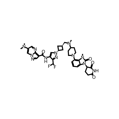 CN(C)c1cnc2c(C(=O)Nc3cn([C@H]4C[C@H](CN(C)C5CCN(c6cccc7c6n(C)c(=O)n7C6CCC(=O)NC6=O)CC5)C4)nc3C(F)F)cnn2c1